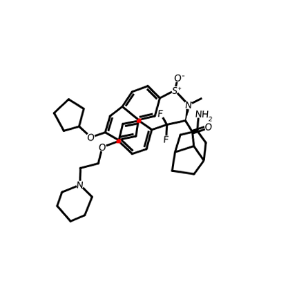 CN([C@@H](C(=O)C1C2CCC1CC(N)C2)C(F)(F)c1ccc(OCCN2CCCCC2)cc1)[S+]([O-])c1ccc2cc(OC3CCCC3)ccc2c1